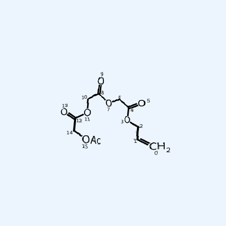 C=CCOC(=O)COC(=O)COC(=O)COC(C)=O